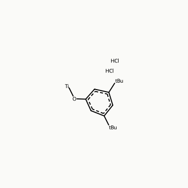 CC(C)(C)c1cc([O][Ti])cc(C(C)(C)C)c1.Cl.Cl